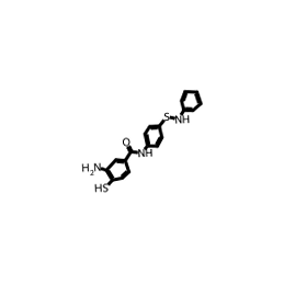 Nc1cc(C(=O)Nc2ccc(SNc3ccccc3)cc2)ccc1S